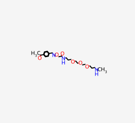 CNCCCOCCOCCOCCCNC(=O)CON=Cc1ccc(C(C)=O)cc1